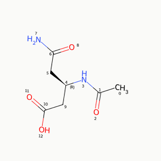 CC(=O)N[C@H](CC(N)=O)CC(=O)O